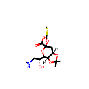 CNC[C@@H](O)[C@H]1OC(OCSC)(C(=O)O)C[C@H]2OC(C)(C)O[C@@H]12